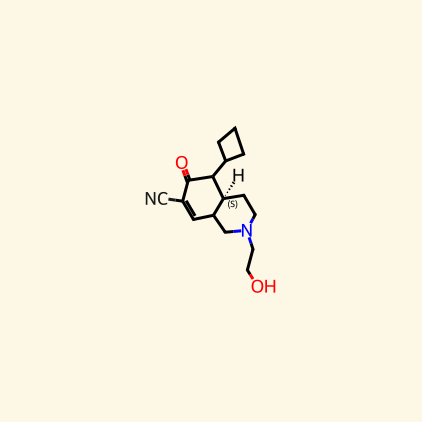 N#CC1=CC2CN(CCO)CC[C@@H]2C(C2CCC2)C1=O